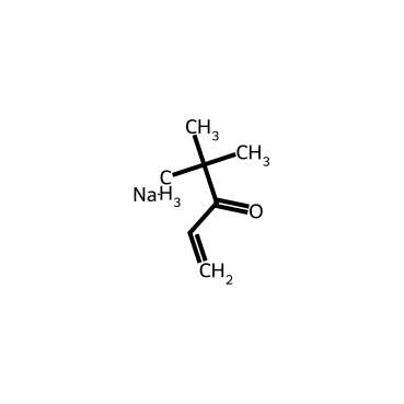 C=CC(=O)C(C)(C)C.[Na]